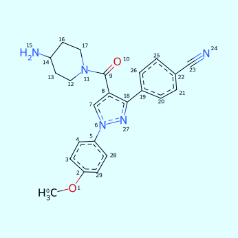 COc1ccc(-n2cc(C(=O)N3CCC(N)CC3)c(-c3ccc(C#N)cc3)n2)cc1